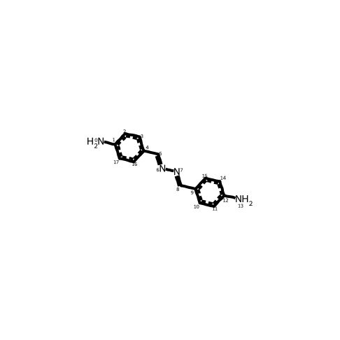 Nc1ccc(/C=N/N=C/c2ccc(N)cc2)cc1